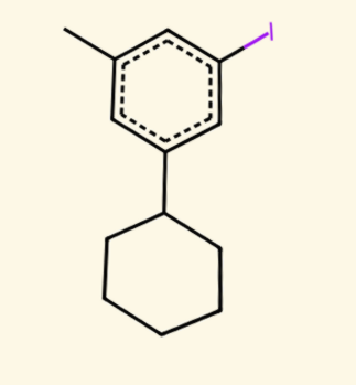 Cc1cc(I)cc(C2CCCCC2)c1